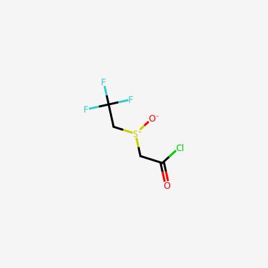 O=C(Cl)C[S+]([O-])CC(F)(F)F